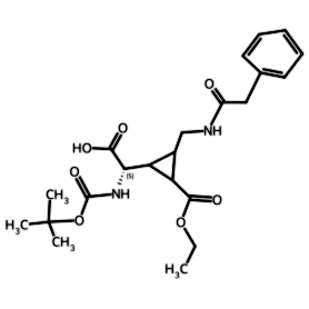 CCOC(=O)C1C(CNC(=O)Cc2ccccc2)C1[C@H](NC(=O)OC(C)(C)C)C(=O)O